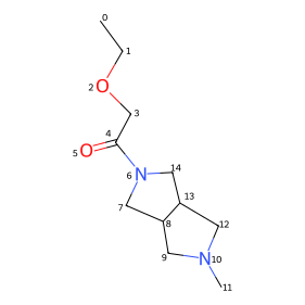 CCOCC(=O)N1CC2CN(C)CC2C1